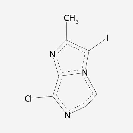 Cc1nc2c(Cl)nccn2c1I